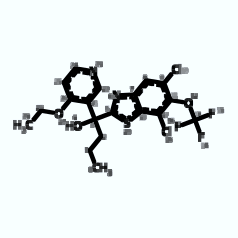 CCCC(O)(c1nc2cc(Cl)c(OC(F)(F)F)c(Cl)c2s1)c1cnccc1OCC